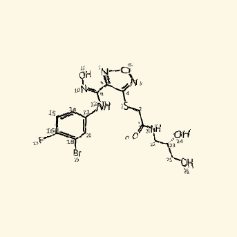 O=C(CSc1nonc1/C(=N\O)Nc1ccc(F)c(Br)c1)NC[C@H](O)CO